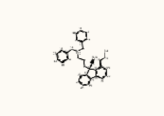 N#CC1(CCCN(Cc2ccccc2)Cc2ccccc2)c2ccccc2-c2cccc(CCI)c21